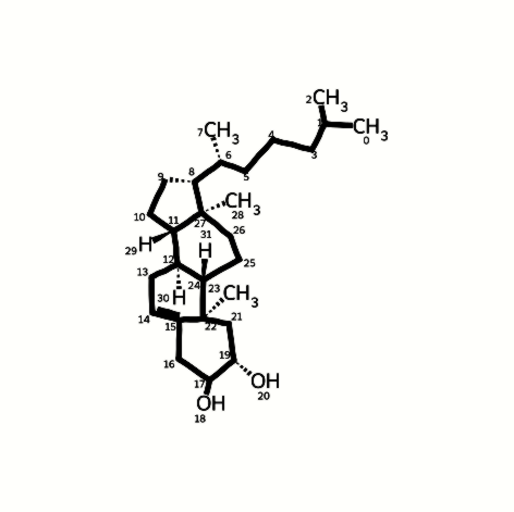 CC(C)CCC[C@@H](C)[C@H]1CC[C@H]2[C@@H]3CC=C4CC(O)[C@@H](O)C[C@]4(C)[C@H]3CC[C@]12C